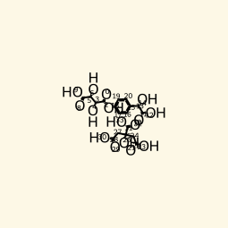 O=C(O)C(O)C(O)C(=O)O.O=C(O)C(O)c1ccccc1.O=C(O)CC(O)(CC(=O)O)C(=O)O